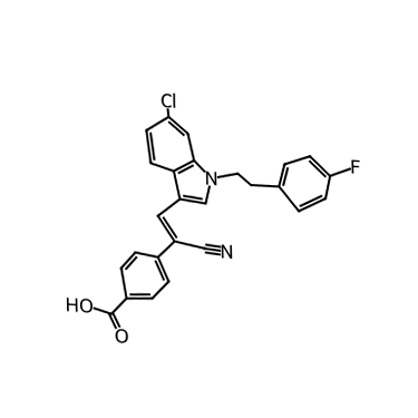 N#CC(=Cc1cn(CCc2ccc(F)cc2)c2cc(Cl)ccc12)c1ccc(C(=O)O)cc1